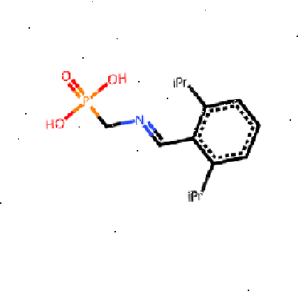 CC(C)c1cccc(C(C)C)c1/C=N/CP(=O)(O)O